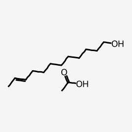 CC(=O)O.CC=CCCCCCCCCCO